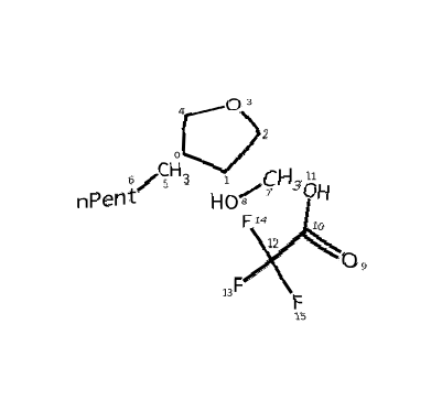 C1CCOC1.CCCCCC.CO.O=C(O)C(F)(F)F